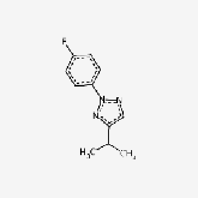 CC(C)c1cnn(-c2ccc(F)cc2)n1